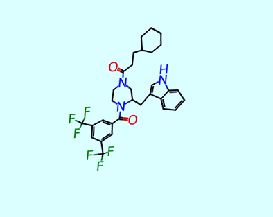 O=C(CCC1CCCCC1)N1CCN(C(=O)c2cc(C(F)(F)F)cc(C(F)(F)F)c2)C(Cc2c[nH]c3ccccc23)C1